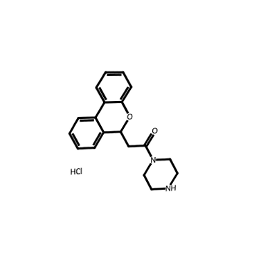 Cl.O=C(CC1Oc2ccccc2-c2ccccc21)N1CCNCC1